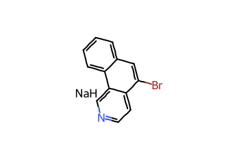 Brc1cc2ccccc2c2cnccc12.[NaH]